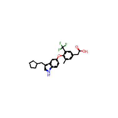 Cc1cc(CC(=O)O)cc(C(F)(F)F)c1Oc1ccc2[nH]cc(CC3CCCC3)c2c1